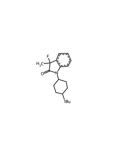 CC1(F)C(=O)N(C2CCC(C(C)(C)C)CC2)c2ccccc21